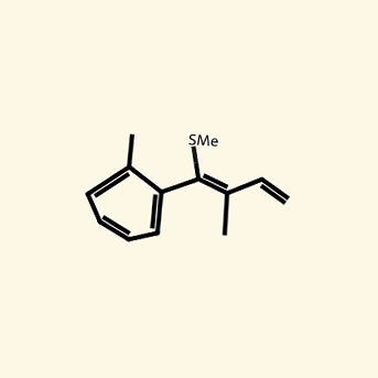 C=C/C(C)=C(\SC)c1ccccc1C